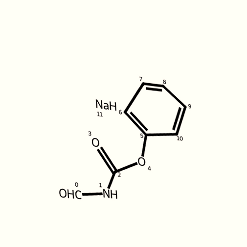 O=CNC(=O)Oc1ccccc1.[NaH]